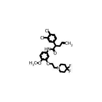 C=CCC(C(=O)Nc1ccc(OC)c(OCCN2CCC(F)(F)CC2)c1)c1ccc(Cl)c(Cl)c1